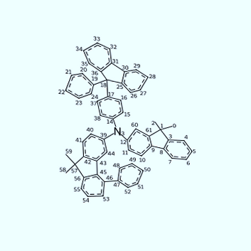 CC1(C)c2ccccc2-c2ccc(N(c3ccc(C4(c5ccccc5)c5ccccc5-c5ccccc54)cc3)c3ccc4c(c3)-c3c(-c5ccccc5)cccc3C4(C)C)cc21